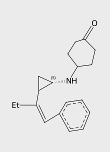 CCC(=Cc1ccccc1)C1C[C@@H]1NC1CCC(=O)CC1